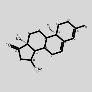 CC[C@]12CCC3C(CC=C4C=C(C)CC[C@@H]43)C1C(OC(C)=O)CC2=O